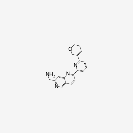 NCc1cc2nc(-c3cccc(C4=CCCOC4)n3)ccc2cn1